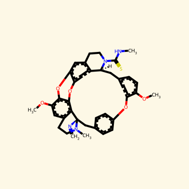 C=N[C@]12Cc3ccc(cc3)Oc3cc(ccc3OC)C[C@H]3c4cc5c(cc4CCN3C(=S)NC)Oc3c(OC)cc(c1c3O5)CCN2C